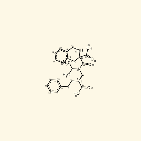 CC(C)N(C[C@H](CCc1ccccc1)C(=O)O)C(=O)C1(C(=O)O)Cc2ccccc2CN1